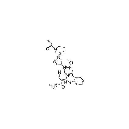 C=CC(=O)N1CCC[C@@H](n2cc(Nc3ncc(C(N)=O)c(Nc4ccccc4OCCOC)n3)cn2)C1